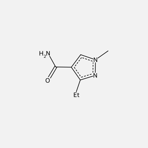 CCc1nn(C)cc1C(N)=O